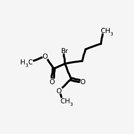 CCCCC(Br)(C(=O)OC)C(=O)OC